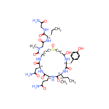 CCC[C@H](NC(=O)CN(C)C(=O)[C@@H]1CC[S+]([O-])CCC(O)N[C@H](Cc2ccc(O)cc2)C(=O)N[C@@H]([C@@H](C)CC)C(=O)N[C@@H](CCC(N)=O)C(=O)N[C@@H](CC(N)=O)C(=O)N1)C(=O)NCC(N)=O